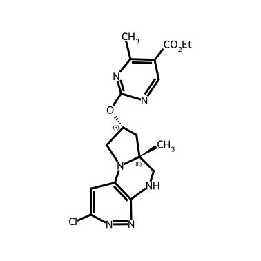 CCOC(=O)c1cnc(O[C@H]2CN3c4cc(Cl)nnc4NC[C@@]3(C)C2)nc1C